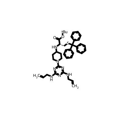 C=CCNc1nc(NCC=C)nc(N2CCC(N[C@@H](CSC(c3ccccc3)(c3ccccc3)c3ccccc3)C(=O)OC(C)(C)C)CC2)n1